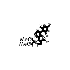 COCC(COC)n1ccc2c(C)nc3c(-c4c(C)cc(C)cc4C)ccnc3c21